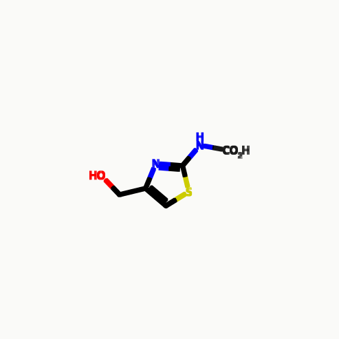 O=C(O)Nc1nc(CO)cs1